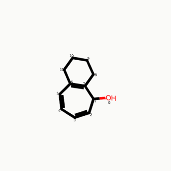 OC1C=CC=CC2=C1CCCC2